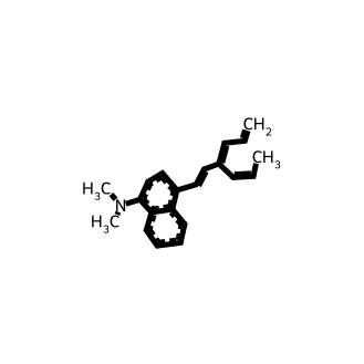 C=C/C=C(\C=C/C)/C=C/c1ccc(N(C)C)c2ccccc12